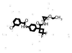 CCO[C@@H]1C[C@@H]1NC(=O)C1(c2ccc(NC(=O)c3cccc(Cl)c3)cc2)CC(F)(F)C1